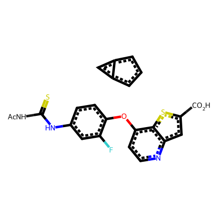 CC(=O)NC(=S)Nc1ccc(Oc2ccnc3cc(C(=O)O)sc23)c(F)c1.c1cc2cc-2c1